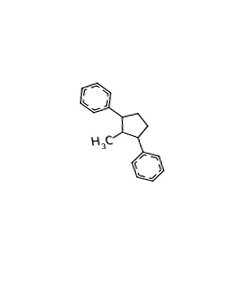 CC1C(c2ccccc2)CCC1c1ccccc1